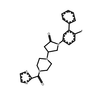 O=C(c1nccs1)N1CCN(C2CC(=O)N(c3ccc(F)c(-c4ccccc4)c3)C2)CC1